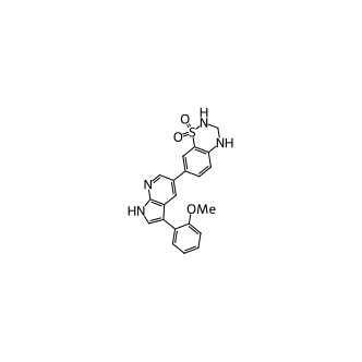 COc1ccccc1-c1c[nH]c2ncc(-c3ccc4c(c3)S(=O)(=O)NCN4)cc12